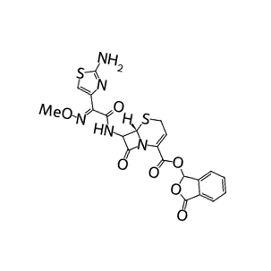 CON=C(C(=O)NC1C(=O)N2C(C(=O)OC3OC(=O)c4ccccc43)=CCS[C@@H]12)c1csc(N)n1